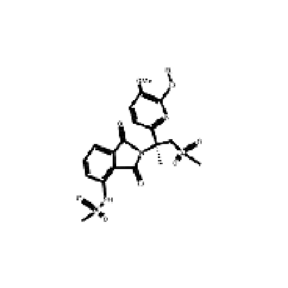 CCOc1nc([C@@](C)(CS(C)(=O)=O)N2C(=O)c3cccc(NS(C)(=O)=O)c3C2=O)ccc1OC